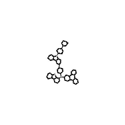 c1ccc(-c2ccc(-n3c4ccccc4c4cc(-c5ccc(N(c6ccc7c8ccccc8c8ccccc8c7c6)c6cccc7c6sc6ccccc67)cc5)ccc43)cc2)cc1